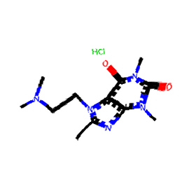 Cc1nc2c(c(=O)n(C)c(=O)n2C)n1CCN(C)C.Cl